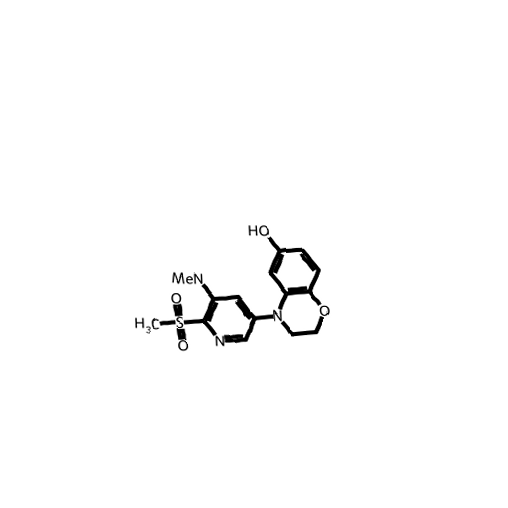 CNc1cc(N2CCOc3ccc(O)cc32)cnc1S(C)(=O)=O